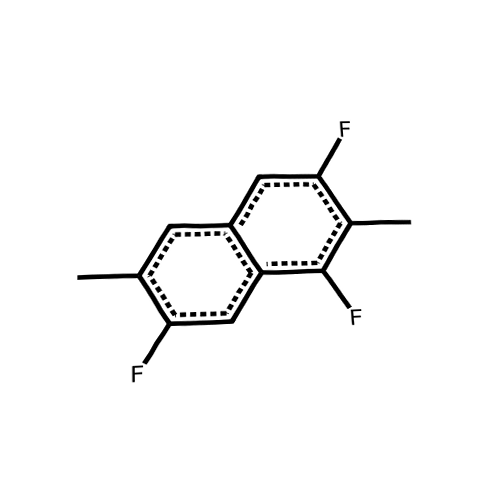 Cc1cc2cc(F)c(C)c(F)c2cc1F